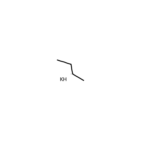 C[CH]CC.[KH]